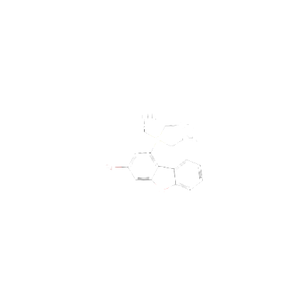 CCS(CC)(CC)c1cc(Br)cc2oc3ccccc3c12